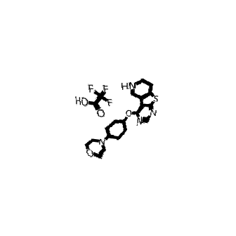 O=C(O)C(F)(F)F.c1nc(OC2CCC(N3CCOCC3)CC2)c2c3c(sc2n1)CCNC3